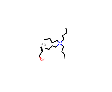 C=CCO.CCCC[N+](CCCC)(CCCC)CCCC.[BH4-]